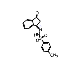 Cc1ccc(S(=O)(=O)N/N=C2/CC(=O)c3ccccc32)cc1